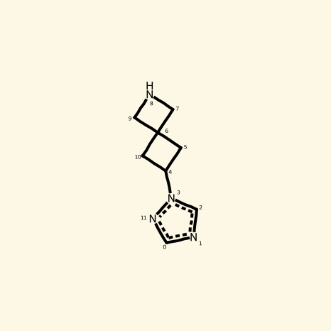 c1ncn(C2CC3(CNC3)C2)n1